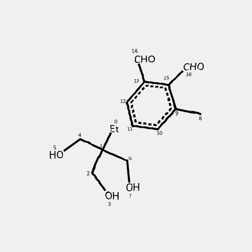 CCC(CO)(CO)CO.Cc1cccc(C=O)c1C=O